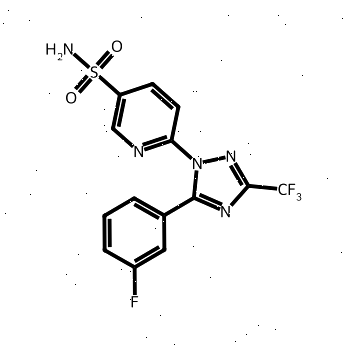 NS(=O)(=O)c1ccc(-n2nc(C(F)(F)F)nc2-c2cccc(F)c2)nc1